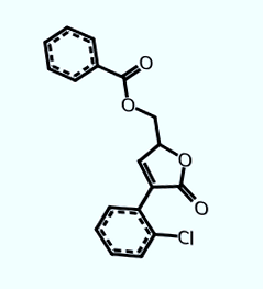 O=C1OC(COC(=O)c2ccccc2)C=C1c1ccccc1Cl